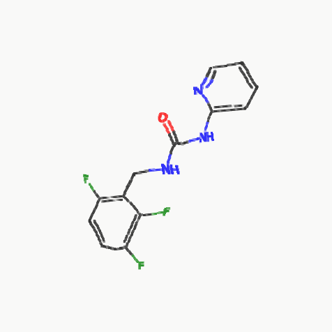 O=C(NCc1c(F)ccc(F)c1F)Nc1ccccn1